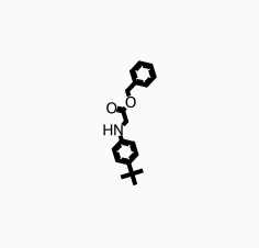 CC(C)(C)c1ccc(NCC(=O)OCc2ccccc2)cc1